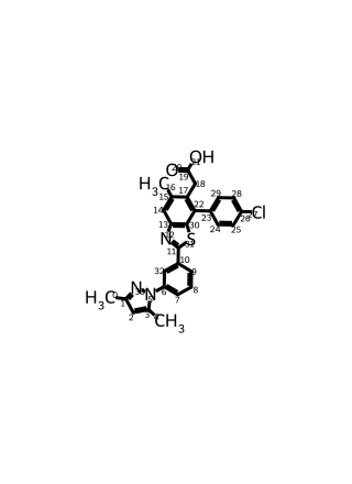 Cc1cc(C)n(-c2cccc(-c3nc4cc(C)c(CC(=O)O)c(-c5ccc(Cl)cc5)c4s3)c2)n1